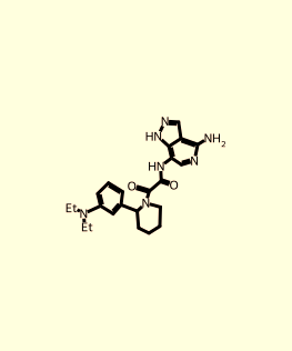 CCN(CC)c1cccc(C2CCCCN2C(=O)C(=O)Nc2cnc(N)c3cn[nH]c23)c1